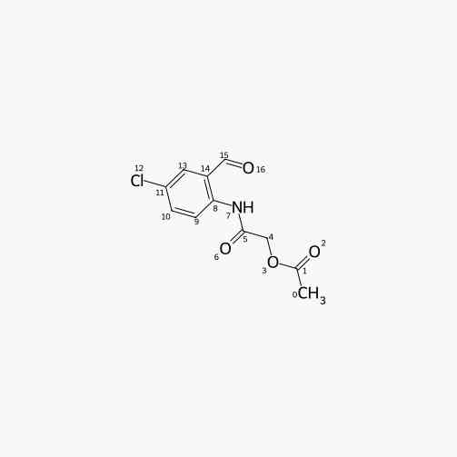 CC(=O)OCC(=O)Nc1ccc(Cl)cc1C=O